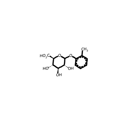 Cc1ccccc1OC1O[C@H](C(=O)O)[C@@H](O)[C@H](O)[C@H]1O